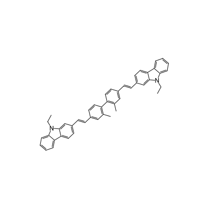 CCn1c2ccccc2c2ccc(C=Cc3ccc(-c4ccc(C=Cc5ccc6c7ccccc7n(CC)c6c5)cc4C)c(C)c3)cc21